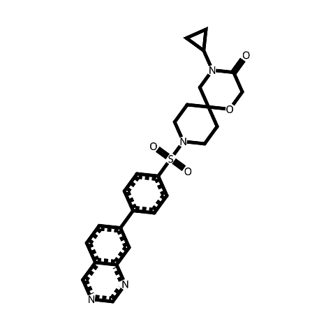 O=C1COC2(CCN(S(=O)(=O)c3ccc(-c4ccc5cncnc5c4)cc3)CC2)CN1C1CC1